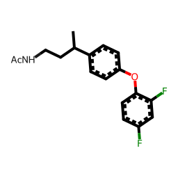 CC(=O)NCCC(C)c1ccc(Oc2ccc(F)cc2F)cc1